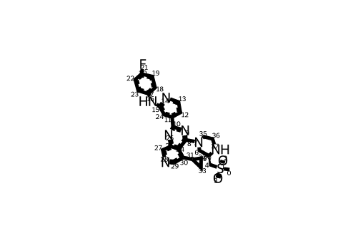 CS(=O)(=O)C[C@H]1CN(c2nc(-c3ccnc(Nc4ccc(F)cc4)c3)nc3cncc(C4CC4)c23)CCN1